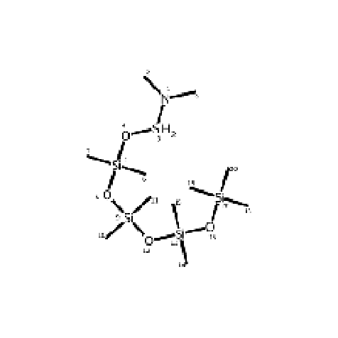 CN(C)[SiH2]O[Si](C)(C)O[Si](C)(C)O[Si](C)(C)O[Si](C)(C)C